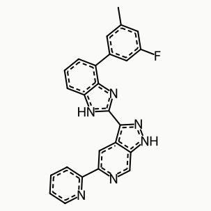 Cc1cc(F)cc(-c2cccc3[nH]c(-c4n[nH]c5cnc(-c6ccccn6)cc45)nc23)c1